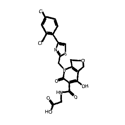 O=C(O)CNC(=O)c1c(O)c2c(n(Cc3nc(-c4ccc(Cl)cc4Cl)cs3)c1=O)COC2